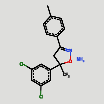 Cc1ccc(C2=NOC(c3cc(Cl)cc(Cl)c3)(C(F)(F)F)C2)cc1.N